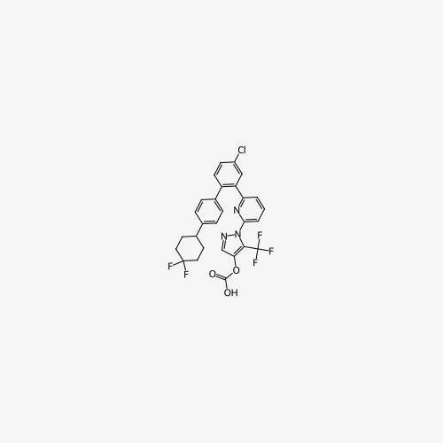 O=C(O)Oc1cnn(-c2cccc(-c3cc(Cl)ccc3-c3ccc(C4CCC(F)(F)CC4)cc3)n2)c1C(F)(F)F